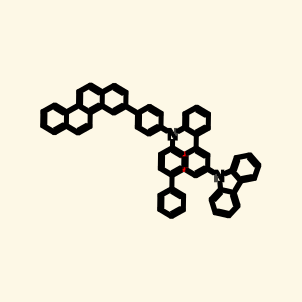 c1ccc(-c2ccc(N(c3ccc(-c4ccc5ccc6c7ccccc7ccc6c5c4)cc3)c3ccccc3-c3cccc(-n4c5ccccc5c5ccccc54)c3)cc2)cc1